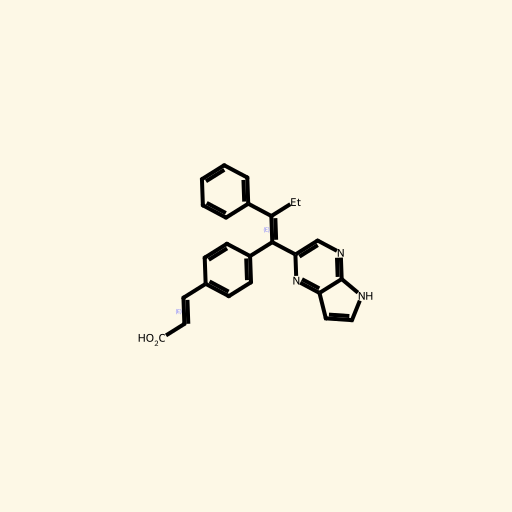 CC/C(=C(/c1ccc(/C=C/C(=O)O)cc1)c1cnc2[nH]ccc2n1)c1ccccc1